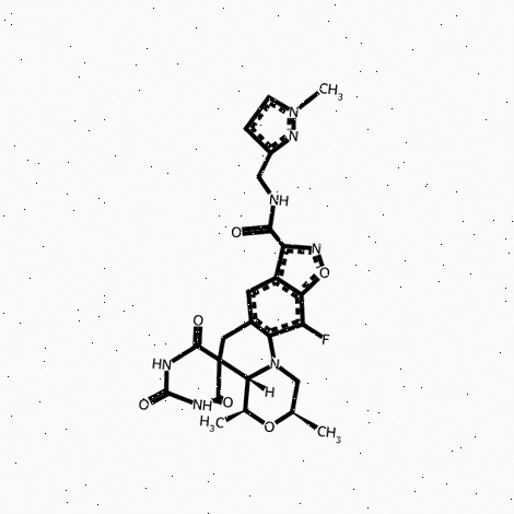 C[C@@H]1CN2c3c(cc4c(C(=O)NCc5ccn(C)n5)noc4c3F)CC3(C(=O)NC(=O)NC3=O)[C@H]2[C@H](C)O1